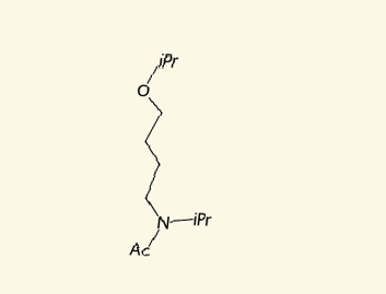 CC(=O)N(CCCCOC(C)C)C(C)C